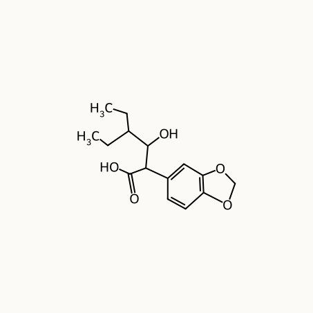 CCC(CC)C(O)C(C(=O)O)c1ccc2c(c1)OCO2